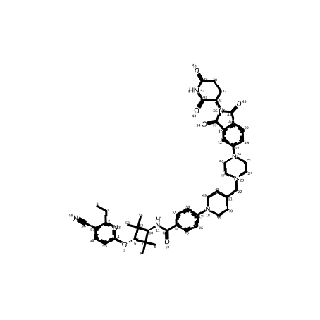 CCc1nc(O[C@H]2C(C)(C)[C@H](NC(=O)c3ccc(N4CCC(CN5CCN(c6ccc7c(c6)C(=O)N(C6CCC(=O)NC6=O)C7=O)CC5)CC4)cc3)C2(C)C)ccc1C#N